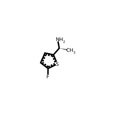 C[C@@H](N)c1ccc(F)s1